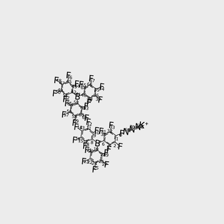 Fc1c(F)c(F)c(B(c2c(F)c(F)c(F)c(F)c2F)c2c(F)c(F)c(F)c(F)c2F)c(F)c1F.Fc1c(F)c(F)c(B(c2c(F)c(F)c(F)c(F)c2F)c2c(F)c(F)c(F)c(F)c2F)c(F)c1F.[K+].[N-]=[N+]=[N-]